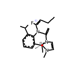 C=C(N(/C(F)=C\CC)c1c(C(C)C)cccc1C(C)C)N1C=CN(C)[C@@H]1C